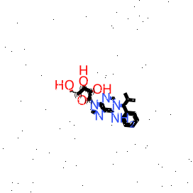 CC(C)C(c1ccccc1)N1CN=c2c(ncn2[C@@H]2O[C@H](CO)[C@@H](O)[C@H]2O)=C1N